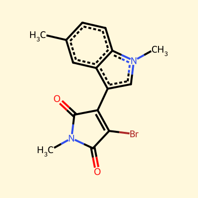 Cc1ccc2c(c1)c(C1=C(Br)C(=O)N(C)C1=O)cn2C